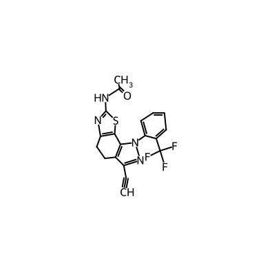 C#Cc1nn(-c2ccccc2C(F)(F)F)c2c1CCc1nc(NC(C)=O)sc1-2